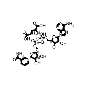 NC(=O)C1=CN([C@@H]2O[C@H](COP(=O)(O)OP(=O)(O)OC[C@H]3O[C@@H](n4cnc5c(N)ncnc54)[C@H](O)[C@@H]3O)[C@@H](O)[C@H]2O)C=CC1.NC(CCC(=O)O)C(=O)O